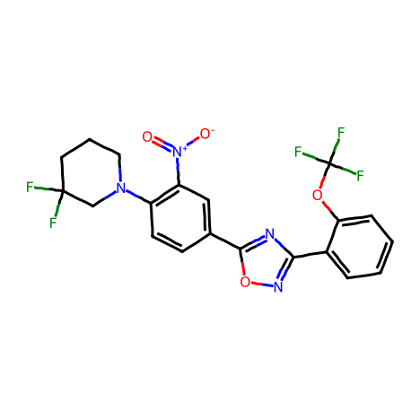 O=[N+]([O-])c1cc(-c2nc(-c3ccccc3OC(F)(F)F)no2)ccc1N1CCCC(F)(F)C1